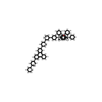 O=P(c1ccccc1)(c1ccccc1)c1ccccc1Oc1ccccc1P(=O)(c1ccccc1)c1ccc(-c2ccnc(-c3ccc(-c4ccc5c6ccc(-c7ccc(-c8ccccn8)nc7)cc6c6ccccc6c5c4)cn3)c2)cc1